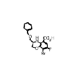 O=C(O)c1cc(F)c(Br)c2c1NC(COCc1ccccc1)CO2